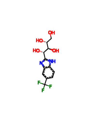 OC[C@@H](O)[C@@H](O)[C@@H](O)c1nc2cc(C(F)(F)F)ccc2[nH]1